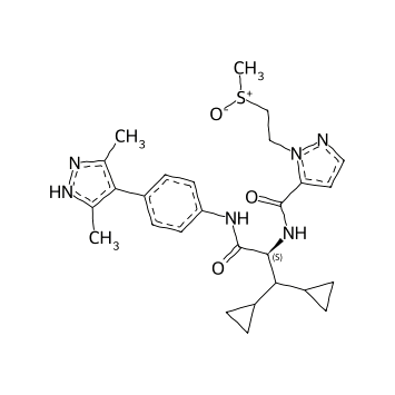 Cc1n[nH]c(C)c1-c1ccc(NC(=O)[C@@H](NC(=O)c2ccnn2CC[S+](C)[O-])C(C2CC2)C2CC2)cc1